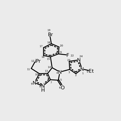 CCn1cc(N2C(=O)c3[nH]nc(CC(C)C)c3C2c2ccc(Br)cc2F)cn1